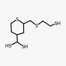 SCCSCC1CC(C(S)S)CCS1